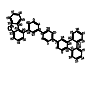 c1cc(-c2ccc(-c3ccc4c5ccccc5c5ccccc5c4c3)cc2)cc(-c2cccc3oc4ccccc4c23)c1